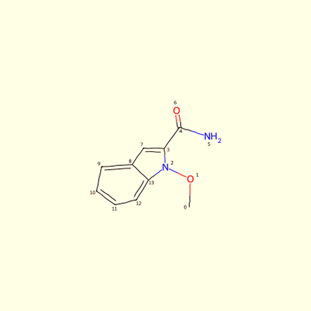 COn1c(C(N)=O)cc2ccccc21